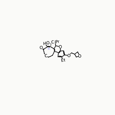 CCc1cc2c(cc1OCC1COC1)OC(C(C)C)C1=C2CCCCC(=O)/C(C(=O)O)=C\1